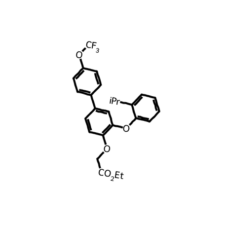 CCOC(=O)COc1ccc(-c2ccc(OC(F)(F)F)cc2)cc1Oc1ccccc1C(C)C